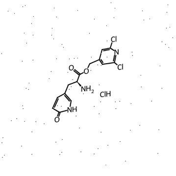 Cl.N[C@@H](Cc1ccc(=O)[nH]c1)C(=O)OCc1cc(Cl)nc(Cl)c1